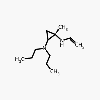 C=CN[C@@]1(C)CC1N(CCC)CCC